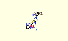 CCCCNC(=C[N+](=O)[O-])N1CCc2nc(C(=O)Nc3ccccc3N)sc2C1